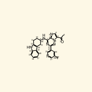 CC(=O)c1cnc2c(N[C@@H]3CCc4[nH]c5ccccc5c4C3)nc(-c3cncc(F)c3)nn12